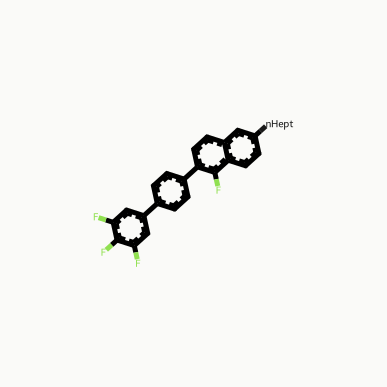 CCCCCCCc1ccc2c(F)c(-c3ccc(-c4cc(F)c(F)c(F)c4)cc3)ccc2c1